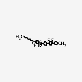 CCCCCCCCOc1ccc(OC(=O)C2CCC(c3ccc(C4CCC(C)CC4)c(F)c3F)CC2)c(F)c1F